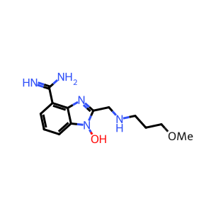 COCCCNCc1nc2c(C(=N)N)cccc2n1O